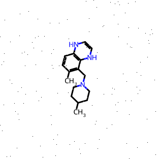 Cc1ccc2c(c1CN1CCC(C)CC1)NC=CN2